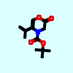 CC(C)C1=COC(=O)CN1C(=O)OC(C)(C)C